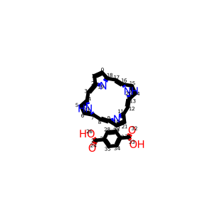 C1=Cc2cc3ccc(cc4nc(cc5ccc(cc1n2)[nH]5)C=C4)[nH]3.O=C(O)c1ccc(C(=O)O)cc1